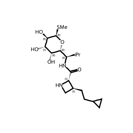 CS[C@H]1O[C@H]([C@H](NC(=O)[C@H]2NC[C@@H]2CCC2CC2)C(C)C)[C@H](O)[C@H](O)[C@H]1O